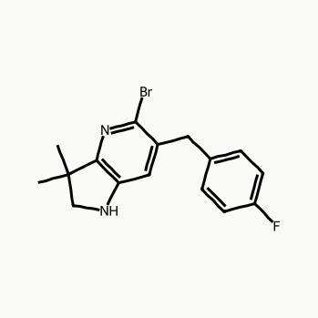 CC1(C)CNc2cc(Cc3ccc(F)cc3)c(Br)nc21